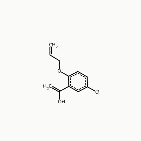 C=CCOc1ccc(Cl)cc1C(=C)O